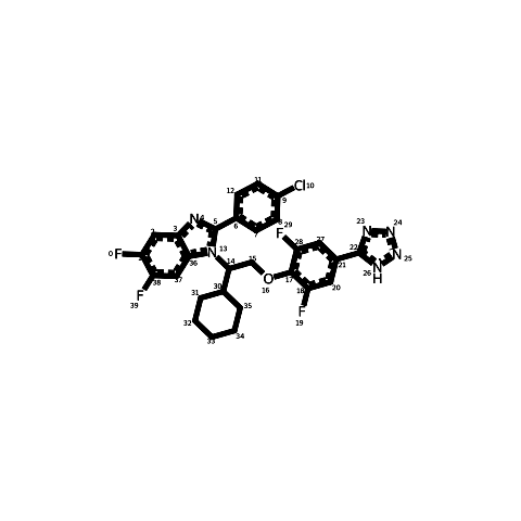 Fc1cc2nc(-c3ccc(Cl)cc3)n(C(COc3c(F)cc(-c4nnn[nH]4)cc3F)C3CCCCC3)c2cc1F